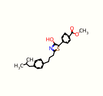 COC(=O)c1ccc(-c2sc(CCCc3ccc(CC(C)C)cc3)nc2O)cc1